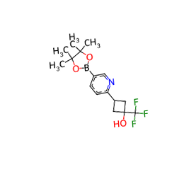 CC1(C)OB(c2ccc(C3CC(O)(C(F)(F)F)C3)nc2)OC1(C)C